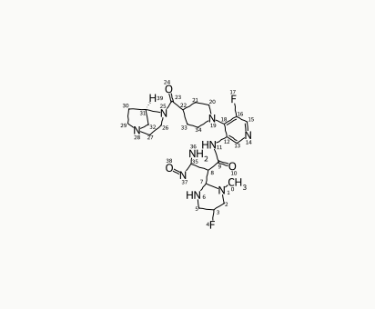 CN1CC(F)CNC1C(C(=O)Nc1cncc(F)c1N1CCC(C(=O)N2CCN3CC[C@@H]2C3)CC1)C(N)N=O